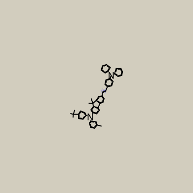 Cc1cccc(N(c2ccc(C(C)(C)C)cc2)c2ccc3c(c2)C(C)(C)c2cc(/C=C/c4ccc(N(c5ccccc5)c5ccccc5)cc4)ccc2-3)c1